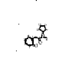 CN(C(=O)Cc1ccccc1Cl)C1CCCC1